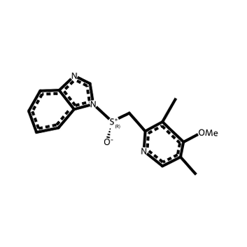 COc1c(C)cnc(C[S@+]([O-])n2cnc3ccccc32)c1C